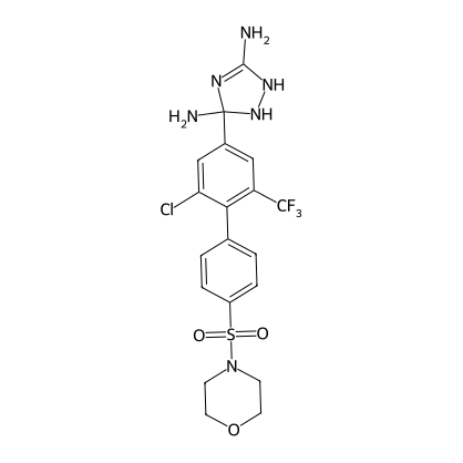 NC1=NC(N)(c2cc(Cl)c(-c3ccc(S(=O)(=O)N4CCOCC4)cc3)c(C(F)(F)F)c2)NN1